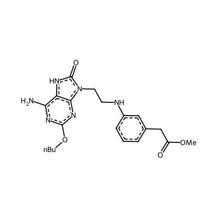 CCCCOc1nc(N)c2[nH]c(=O)n(CCNc3cccc(CC(=O)OC)c3)c2n1